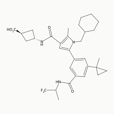 Cc1c(C(=O)N[C@H]2C[C@H](C(=O)O)C2)cc(-c2cc(C(=O)NC(C)C(F)(F)F)cc(C3(C)CC3)c2)n1CC1CCCCC1